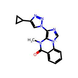 CN1C(=O)c2ccccc2[N+]2C=NC(n3cc(C4CC4)nn3)=C12